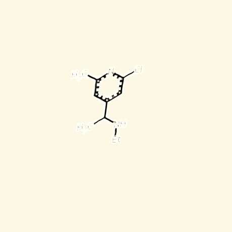 CCNC(C)c1cc(C)nc(Cl)c1